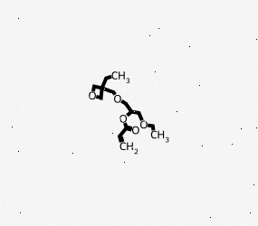 C=CC(=O)OC(COCC)COCC1(CC)COC1